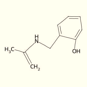 C=C(C)NCc1ccccc1O